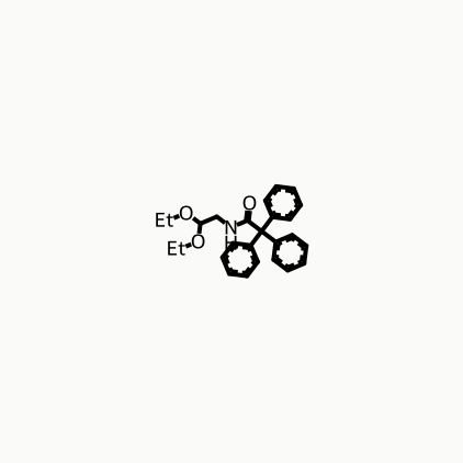 CCOC(CNC(=O)C(c1ccccc1)(c1ccccc1)c1ccccc1)OCC